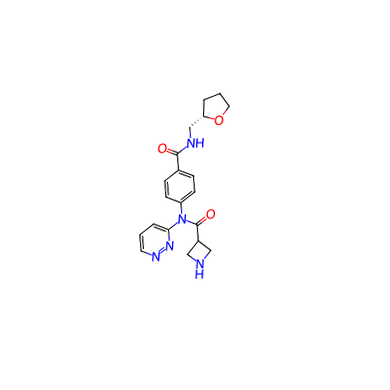 O=C(NC[C@@H]1CCCO1)c1ccc(N(C(=O)C2CNC2)c2cccnn2)cc1